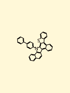 c1ccc(-c2ccc(-n3c4c5ccccc5ccc4c4c5ccccc5c5c6ccccc6sc5c43)cc2)cc1